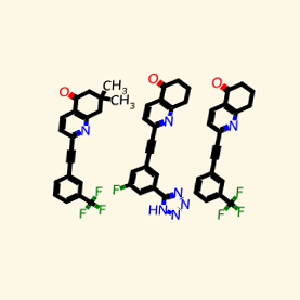 CC1(C)CC(=O)c2ccc(C#Cc3cccc(C(F)(F)F)c3)nc2C1.O=C1CCCc2nc(C#Cc3cc(F)cc(-c4nnn[nH]4)c3)ccc21.O=C1CCCc2nc(C#Cc3cccc(C(F)(F)F)c3)ccc21